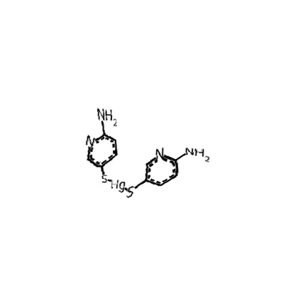 Nc1ccc([S][Hg][S]c2ccc(N)nc2)cn1